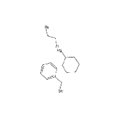 SC1CCCCC1.SCCCl.SCc1ccccc1